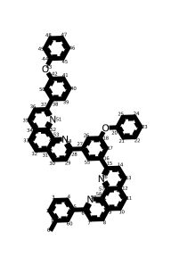 Cc1cccc(-c2ccc3ccc4ccc(-c5cc(Oc6ccccc6)cc(-c6ccc7ccc8ccc(-c9cccc(Oc%10ccccc%10)c9)nc8c7n6)c5)nc4c3n2)c1